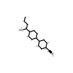 CCCC(O)C1CCC(C2CCC(C#N)CC2)CC1